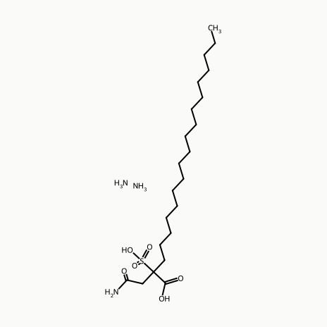 CCCCCCCCCCCCCCCCCCC(CC(N)=O)(C(=O)O)S(=O)(=O)O.N.N